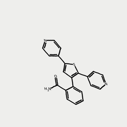 NC(=O)c1ccccc1-c1cc(-c2ccncc2)sc1-c1ccncc1